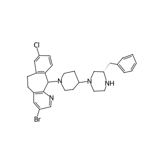 Clc1ccc2c(c1)CCc1cc(Br)cnc1C2N1CCC(N2CCN[C@@H](Cc3ccccc3)C2)CC1